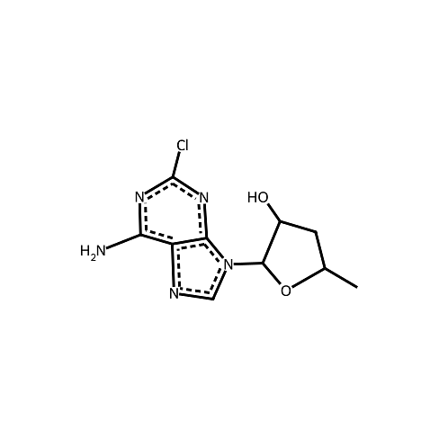 CC1CC(O)C(n2cnc3c(N)nc(Cl)nc32)O1